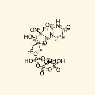 O=N[C@]1(F)[C@H](O)[C@@](CF)(COP(=O)(O)OP(=O)(O)OP(=O)(O)O)O[C@H]1n1ccc(=O)[nH]c1=O